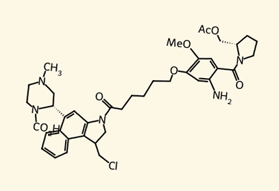 COc1cc(C(=O)N2CCC[C@H]2COC(C)=O)c(N)cc1OCCCCCC(=O)N1CC(CCl)c2c1cc([C@H]1CN(C)CCN1C(=O)O)c1ccccc21